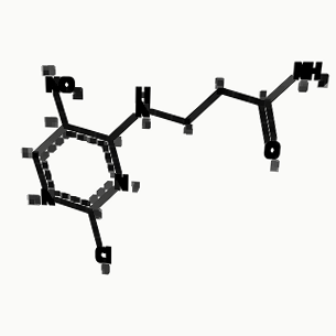 NC(=O)CCNc1nc(Cl)ncc1[N+](=O)[O-]